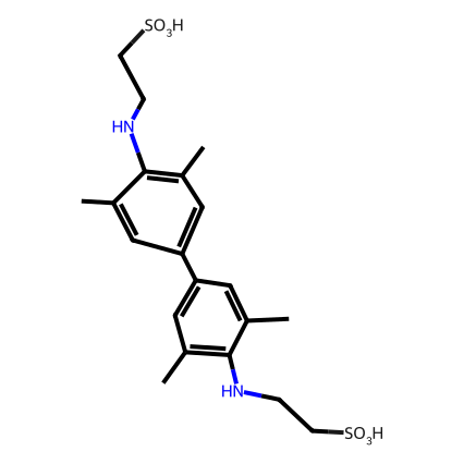 Cc1cc(-c2cc(C)c(NCCS(=O)(=O)O)c(C)c2)cc(C)c1NCCS(=O)(=O)O